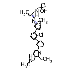 C=C/C(=C\N=c1\cc(-c2cccc(C3=CC(c4ccc(CNC)c(CC)n4)CC=C3)c2Cl)ccn1C)CNCC1(O)CCC1